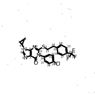 O=c1c2ncn(C3CC3)c2nc(SCCc2ccc(C(F)(F)F)cc2)n1-c1ccc(Cl)cc1